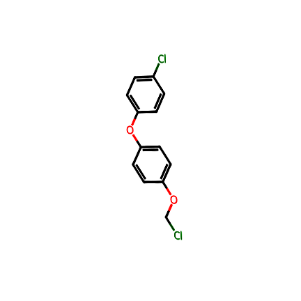 ClCOc1ccc(Oc2ccc(Cl)cc2)cc1